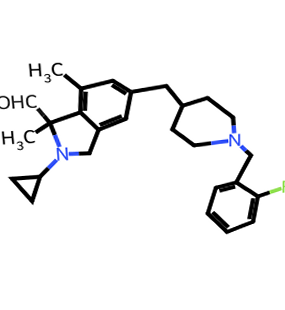 Cc1cc(CC2CCN(Cc3ccccc3F)CC2)cc2c1C(C)(C=O)N(C1CC1)C2